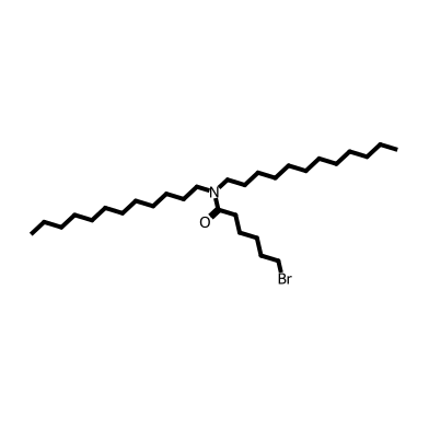 CCCCCCCCCCCCN(CCCCCCCCCCCC)C(=O)CCCCCBr